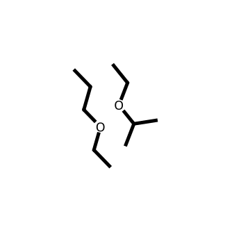 CCCOCC.CCOC(C)C